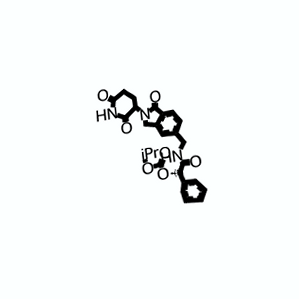 CC(C)OC(=O)O[C@H](C(=O)NCc1ccc2c(c1)CN(C1CCC(=O)NC1=O)C2=O)c1ccccc1